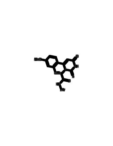 CCCNC(=O)Cn1c(-c2ccc(OC)cc2OC)cc(=O)[nH]c1=S